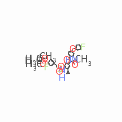 CNC(=O)c1c(-c2ccc(Oc3ccc(F)cc3)cc2)oc2cc(NS(=O)(=O)CCc3ccc(B4OC(C)(C)C(C)(C)O4)c(F)c3)c(C3CC3)cc12